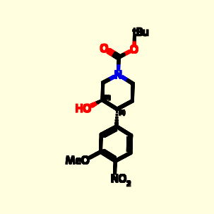 COc1cc([C@H]2CCN(C(=O)OC(C)(C)C)C[C@@H]2O)ccc1[N+](=O)[O-]